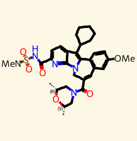 CNS(=O)(=O)NC(=O)c1ccc2c(C3CCCCC3)c3n(c2n1)CC(C(=O)N1C[C@@H](C)O[C@@H](C)C1)=Cc1cc(OC)ccc1-3